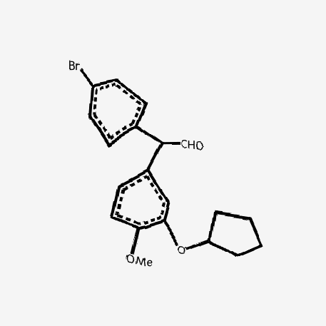 COc1ccc(C(C=O)c2ccc(Br)cc2)cc1OC1CCCC1